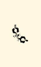 CN1CCC(NS(=O)(=O)N2CCNCC2)CC1